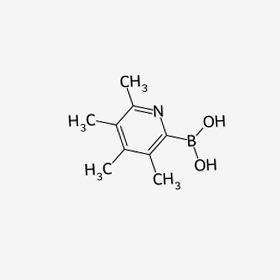 Cc1nc(B(O)O)c(C)c(C)c1C